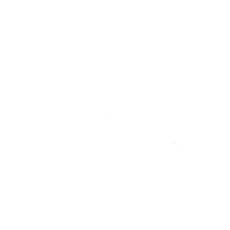 CN(C)C(=O)c1cccc(S(=O)(=O)n2cc(CN(C)C(=O)O)cc2-c2ccccc2)c1